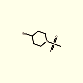 CCC(C)C1CCN(S(C)(=O)=O)CC1